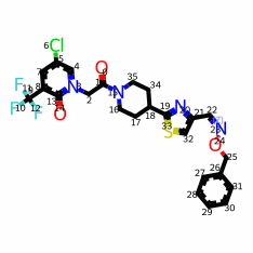 O=C(Cn1cc(Cl)cc(C(F)(F)F)c1=O)N1CCC(c2nc(/C=N\OCc3ccccc3)cs2)CC1